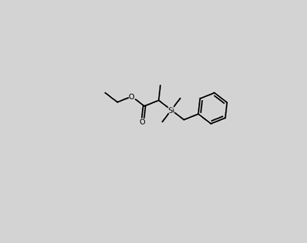 CCOC(=O)C(C)[Si](C)(C)Cc1ccccc1